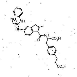 CN1Cc2cc(NC(=C[N+](=O)[O-])Nc3ccccc3)ccc2C1C(=O)NC(Cc1ccc(CCC(=O)O)cc1)C(=O)O